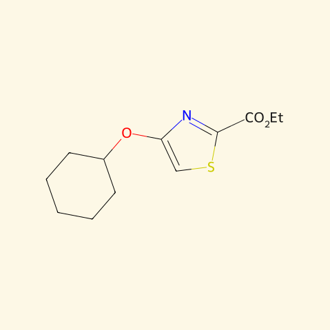 CCOC(=O)c1nc(OC2CCCCC2)cs1